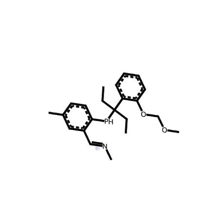 CCC(CC)(Pc1ccc(C)cc1/C=N/C)c1ccccc1OCOC